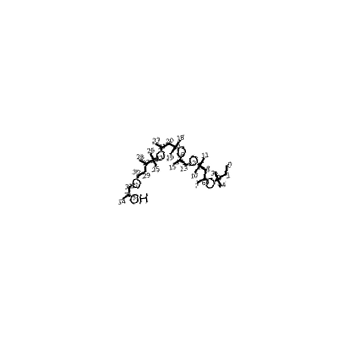 CCC(C)(C)OC(C)CC(C)(C)OCC(C)OC(C)(C)CC(C)OC(C)(C)C(C)CCOCC(C)O